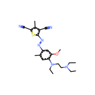 CCN(CC)CCN(CC)c1cc(C)c(/N=N/c2sc(C#N)c(C)c2C#N)cc1OC